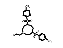 Cc1ccc(S(=O)(=O)C2CCC(S(=O)(=O)c3ccc(C)cc3)CCN(CCN)CC2)cc1